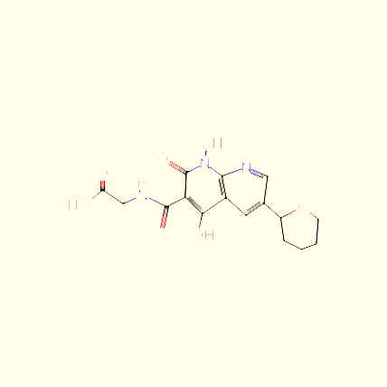 Cn1c(=O)c(C(=O)NCC(=O)O)c(O)c2cc(C3CCCCO3)cnc21